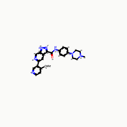 COc1ccncc1-c1cc2c(C(=O)Nc3ccc(N4CCN(C)CC4)cc3)n[nH]c2cn1